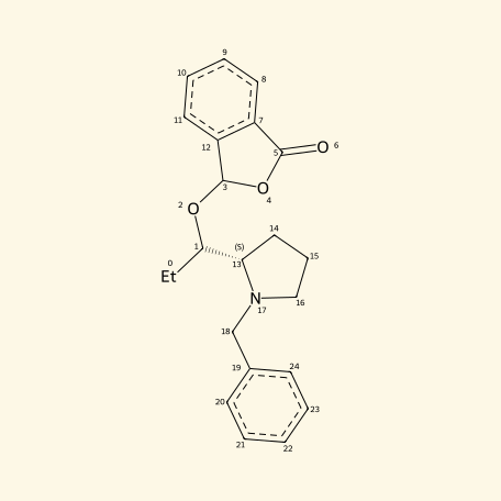 CCC(OC1OC(=O)c2ccccc21)[C@@H]1CCCN1Cc1ccccc1